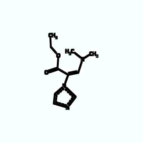 CCOC(=O)/C(=C\N(C)C)n1ccnc1